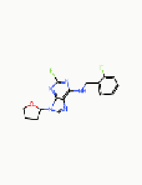 Fc1nc(NCc2ccccc2F)c2ncn(C3CCCO3)c2n1